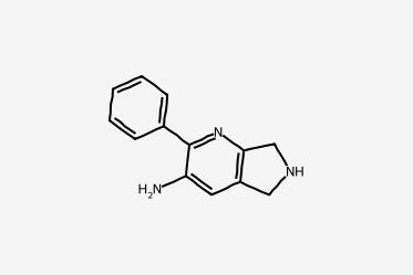 Nc1cc2c(nc1-c1ccccc1)CNC2